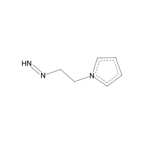 N=NCCn1cccc1